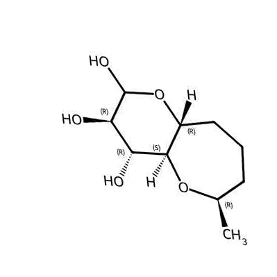 C[C@@H]1CCC[C@H]2OC(O)[C@H](O)[C@@H](O)[C@@H]2O1